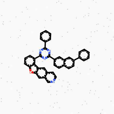 c1ccc(-c2ccc3ccc(-c4nc(-c5ccccc5)nc(-c5cccc6oc7cc8cnccc8cc7c56)n4)cc3c2)cc1